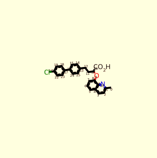 Cc1ccc2cccc(OC(CCc3ccc(-c4ccc(Cl)cc4)cc3)C(=O)O)c2n1